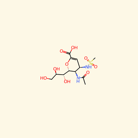 CC(=O)N[C@H]1[C@H]([C@H](O)[C@H](O)CO)OC(C(=O)O)=C[C@H]1NS(C)(=O)=O